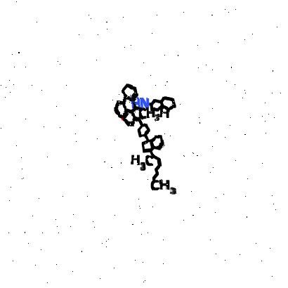 CCCC/C=C\C(C)C1=CCC(C2=CCC(/C(C)=C3\C=CCCC3C(CNC3C=C[C@H]4CCC=CC4C3)C3=CC=CCC3C3CC=CCC3)CC2)C2=C1C=CCC2